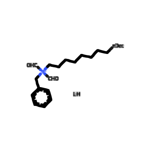 CCCCCCCCCCCCCCCCCC[N+](C=O)(C=O)Cc1ccccc1.[LiH]